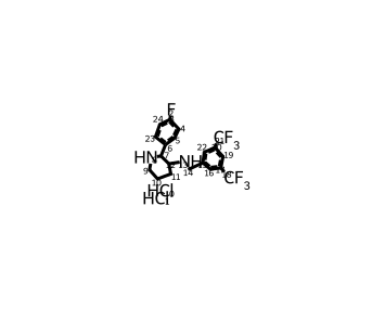 Cl.Cl.Fc1ccc(C2NCCCC2NCc2cc(C(F)(F)F)cc(C(F)(F)F)c2)cc1